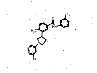 Cc1ccc(C(=O)Nc2cccc(C(F)(F)F)c2)cc1C1CCN(c2cncc(Br)c2)C1